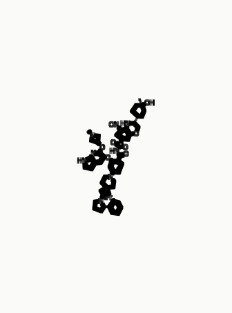 CC(C)c1ccccc1[C@H]1CCCN1C1CC2(CCN(c3ccc(C(=O)NS(=O)(=O)c4cc(N=O)c5c(c4)OCC([C@H]4CC[C@](C)(O)CC4)N5)c(Oc4cc5cc[nH]c5nc4OC4CN(C)C4)c3)CC2)C1